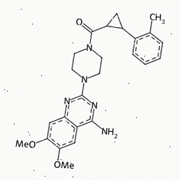 COc1cc2nc(N3CCN(C(=O)C4CC4c4ccccc4C)CC3)nc(N)c2cc1OC